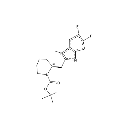 Cn1c(C[C@@H]2CCCCN2C(=O)OC(C)(C)C)nc2cc(F)c(F)cc21